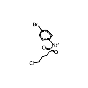 O=S(=O)(CCCCl)Nc1ccc(Br)cc1